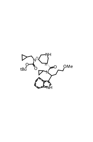 COCCCC(c1c[nH]c2ccccc12)N(C(=O)[C@H]1CNC[C@@H](N(CC2CC2)C(=O)OC(C)(C)C)C1)C1CC1